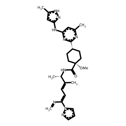 C=N/C(=C\C=C(/C)[C@H](C)NC(=O)[C@]1(OC)CC[C@@H](c2nc(C)cc(Nc3cc(C)[nH]n3)n2)CC1)n1cccn1